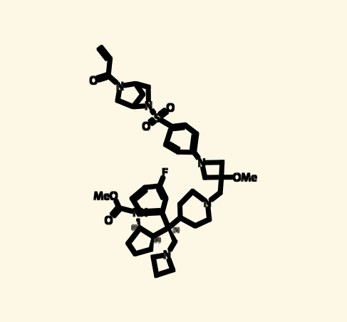 C=CC(=O)N1CC2CC1CN2S(=O)(=O)c1ccc(N2CC(CN3CCC([C@@](CN4CCC4)(c4cccc(F)c4)[C@H]4CCC[C@@H]4NC(=O)OC)CC3)(OC)C2)cc1